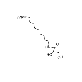 CCCCCCCCCCCCCCCCCCNC(=O)C(O)CO